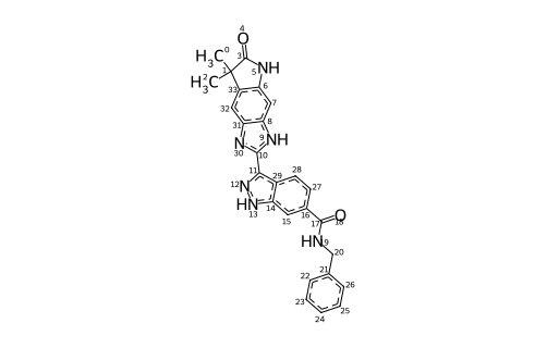 CC1(C)C(=O)Nc2cc3[nH]c(-c4n[nH]c5cc(C(=O)NCc6ccccc6)ccc45)nc3cc21